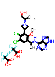 COc1c(C(C)Nc2ncnc3[nH]cnc23)cc(Cl)c(Cl)c1C1CN(C(C)CO)C1.O=C(O)C(F)(F)F.O=C(O)C(F)(F)F